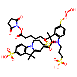 CC1(CCCCCC(=O)ON2C(=O)CCC2=O)C(/C=C/C=C2\N(CCCS(=O)(=O)O)c3ccc(S(=O)(=O)O)cc3C2(C)C)=[N+](CCCS(=O)(=O)O)c2ccc(SOOO)cc21